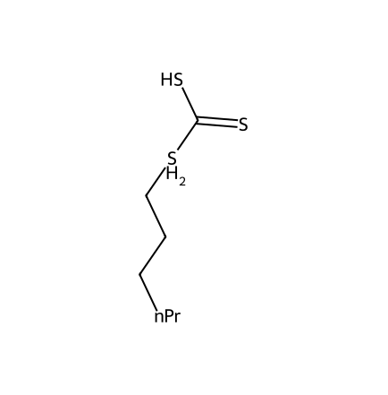 CCCCCC[SH2]C(=S)S